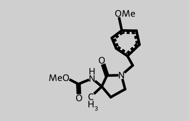 COC(=O)NC1(C)CCN(Cc2ccc(OC)cc2)C1=O